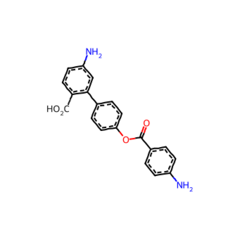 Nc1ccc(C(=O)Oc2ccc(-c3cc(N)ccc3C(=O)O)cc2)cc1